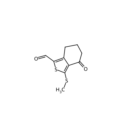 CSc1sc(C=O)c2c1C(=O)CCC2